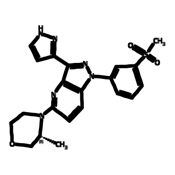 C[C@@H]1COCCN1c1ccc2c(n1)c(-c1cc[nH]n1)nn2-c1cccc(S(C)(=O)=O)c1